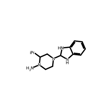 CC(C)C1CN(C2Nc3ccccc3N2)CCN1N